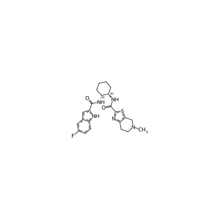 CN1CCc2nc(C(=O)N[C@@H]3CCCC[C@H]3NC(=O)c3cc4cc(F)ccc4[nH]3)sc2C1